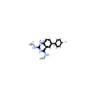 CCCCNc1nc(NCCCC)c2cc(-c3ccc(F)cc3)ccc2n1